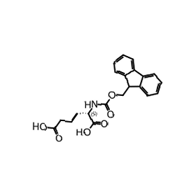 O=C(O)CCC[C@H](NC(=O)OCC1c2ccccc2-c2ccccc21)C(=O)O